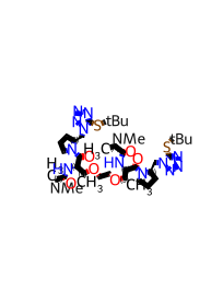 CN[C@@H](C)C(=O)N[C@H](C(=O)N1CCC[C@H]1Cn1nnnc1SC(C)(C)C)[C@@H](C)OCCO[C@@H](C)[C@@H](NC(=O)[C@@H](C)NC)C(=O)N1CCC[C@@H]1Cn1nnnc1SC(C)(C)C